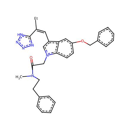 CCC(=Cc1cn(CC(=O)N(C)CCc2ccccc2)c2ccc(OCc3ccccc3)cc12)c1nnn[nH]1